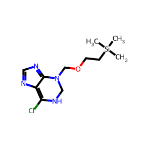 C[Si](C)(C)CCOCN1CNC(Cl)=C2N=CN=C21